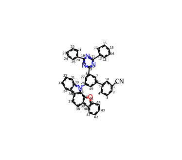 N#Cc1cccc(-c2cc(-c3nc(-c4ccccc4)nc(-c4ccccc4)n3)cc(-n3c4ccccc4c4ccc5c6ccccc6oc5c43)c2)c1